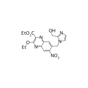 CCOC(=O)c1nc2cc(Cn3ccnc3CO)c([N+](=O)[O-])cc2nc1OCC